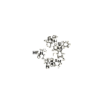 CC(C)(C)N(CCc1cc(Br)n(S(=O)(=O)c2cccnc2)c1)C(=O)O.Cc1ccc(-c2cc(CC(NC(=O)O)C(C)(C)C)cn2S(=O)(=O)c2cccnc2)c(F)n1